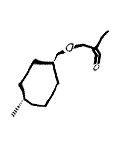 CC(=O)O[C@H]1CC[C@H](C)CC1